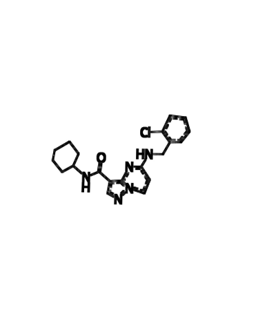 O=C(NC1CCCCC1)c1cnn2ccc(NCc3ccccc3Cl)nc12